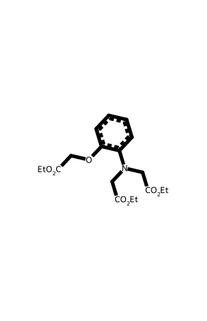 CCOC(=O)COc1ccccc1N(CC(=O)OCC)CC(=O)OCC